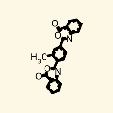 Cc1cc(-c2nc3ccccc3c(=O)o2)ccc1-c1nc2ccccc2c(=O)o1